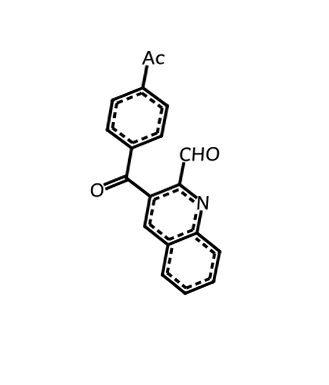 CC(=O)c1ccc(C(=O)c2cc3ccccc3nc2C=O)cc1